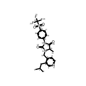 CC(C)Cc1cnccc1CN1C(=O)N(c2ccc(S(=O)(=O)C(F)(F)F)cc2)C(=O)C1C